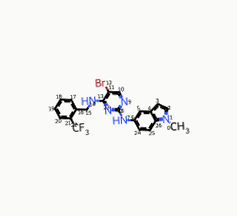 Cn1ccc2cc(Nc3ncc(Br)c(NCc4ccccc4C(F)(F)F)n3)ccc21